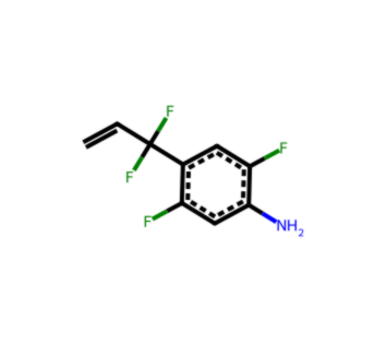 C=CC(F)(F)c1cc(F)c(N)cc1F